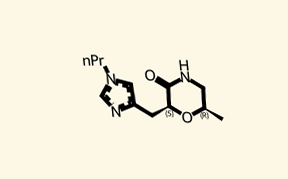 CCCn1cnc(C[C@@H]2O[C@H](C)CNC2=O)c1